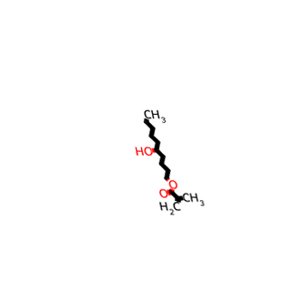 C=C(C)C(=O)OCCCCC(O)CCCCC